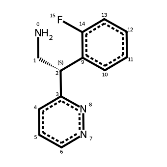 NC[C@@H](c1cccnn1)c1ccccc1F